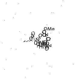 C=CCCCCC[C@H](CC(=O)N1CCCCC1)C(=O)N1C[C@H](Oc2cc(-c3ccccc3)nc3cc(OC)ccc23)C[C@H]1C(=O)NC1(C(=O)NS(=O)(=O)C2CC2)CC1C=C